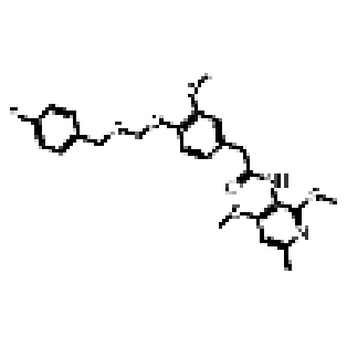 COc1cc(CC(=O)Nc2c(SC)cc(C)nc2SC)ccc1OCSCc1ccc(F)cc1